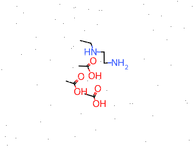 CC(=O)O.CC(=O)O.CC(=O)O.CCNCCN